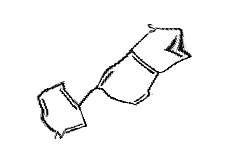 [c]1cc(-c2cccnc2)cc2sccc12